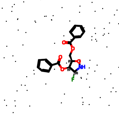 O=C(OC[C@H]1ON[C@H](F)[C@H]1OC(=O)c1ccccc1)c1ccccc1